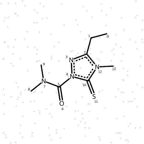 CCc1nn(C(=O)N(C)C)c(=S)n1C